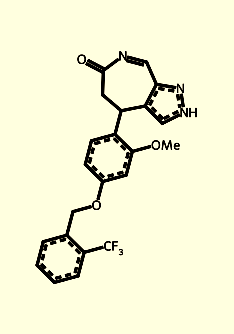 COc1cc(OCc2ccccc2C(F)(F)F)ccc1C1CC(=O)N=Cc2n[nH]cc21